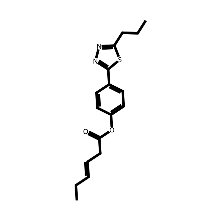 CCC=CCC(=O)Oc1ccc(-c2nnc(CCC)s2)cc1